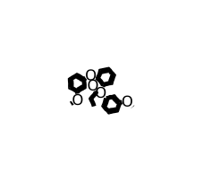 CCCOC1(Oc2cccc(OC)c2)C=CC=CC1Oc1cccc(OC)c1